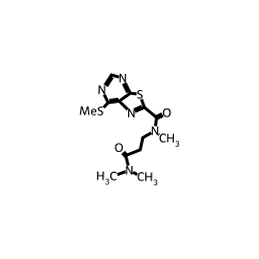 CSc1ncnc2sc(C(=O)N(C)CCC(=O)N(C)C)nc12